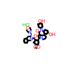 Cl.O=C(c1cc(-c2cc3c(cc2C(=O)N2Cc4ccccc4C[C@H]2CN2CCOCC2)OCO3)n2c1CCCC2)N(c1ccc(O)cc1)c1ccc(O)cc1